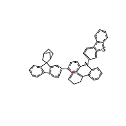 C1=C=c2c(sc3ccccc23)=CC=1N(c1ccc(-c2ccc3c(c2)C2(CC4CCC2C4)c2ccccc2-3)cc1)c1ccccc1C1=CC=CCC1